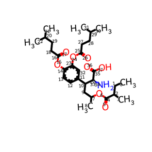 CCC(C)C(=O)OC(C)CC(c1ccc(OC(=O)CCC(C)C)c(OC(=O)CCC(C)C)c1)[C@H](N)C(=O)O